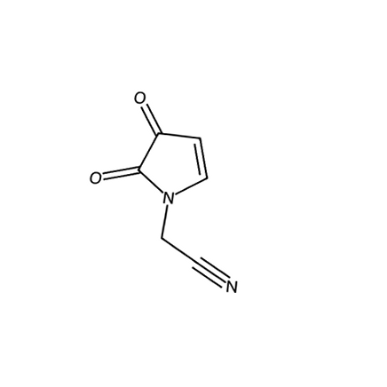 N#CCN1C=CC(=O)C1=O